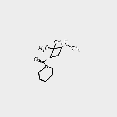 CNC1C[C@H](C(=O)N2CCCCC2)C1(C)C